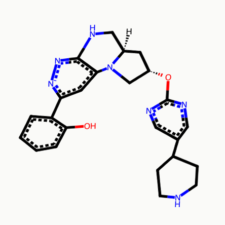 Oc1ccccc1-c1cc2c(nn1)NC[C@H]1C[C@H](Oc3ncc(C4CCNCC4)cn3)CN21